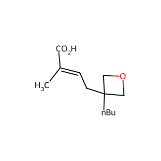 CCCCC1(CC=C(C)C(=O)O)COC1